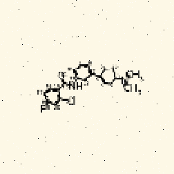 CN(C)C1CC=C(c2cccc(NC(=O)c3ccc(F)cc3Cl)c2)CC1